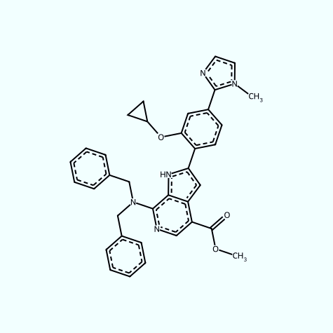 COC(=O)c1cnc(N(Cc2ccccc2)Cc2ccccc2)c2[nH]c(-c3ccc(-c4nccn4C)cc3OC3CC3)cc12